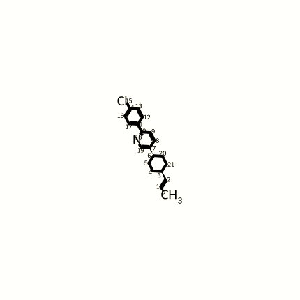 CC=C[C@H]1CC[C@H](c2ccc(-c3ccc(Cl)cc3)nc2)CC1